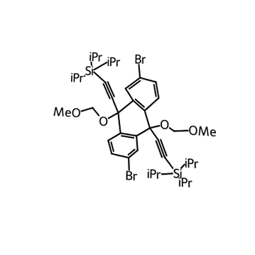 COCOC1(C#C[Si](C(C)C)(C(C)C)C(C)C)c2ccc(Br)cc2C(C#C[Si](C(C)C)(C(C)C)C(C)C)(OCOC)c2ccc(Br)cc21